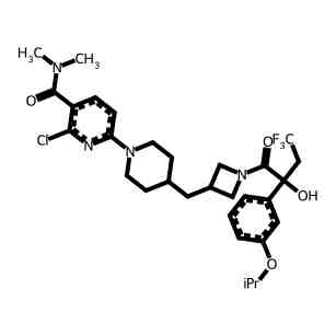 CC(C)Oc1cccc(C(O)(CC(F)(F)F)C(=O)N2CC(CC3CCN(c4ccc(C(=O)N(C)C)c(Cl)n4)CC3)C2)c1